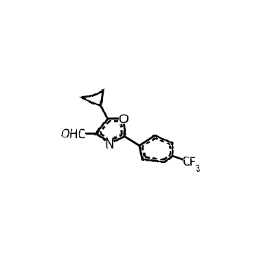 O=Cc1nc(-c2ccc(C(F)(F)F)cc2)oc1C1CC1